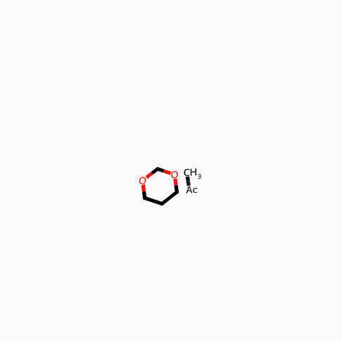 C1COCOC1.CC(C)=O